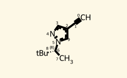 C#Cc1cnn([C@H](C)C(C)(C)C)c1